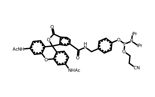 CC(=O)Nc1ccc2c(c1)Oc1cc(NC(C)=O)ccc1C21OC(=O)c2ccc(C(=O)NCc3ccc(OP(OCCC#N)N(C(C)C)C(C)C)cc3)cc21